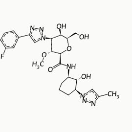 CO[C@@H]1[C@@H](n2cc(-c3cccc(F)c3)nn2)[C@@H](O)[C@@H](CO)O[C@H]1C(=O)N[C@@H]1CCC[C@H](n2cc(C)nn2)[C@H]1O